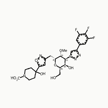 CO[C@@H]1[C@@H](n2cc(-c3cc(F)c(F)c(F)c3)nn2)[C@@H](O)[C@@H](CO)O[C@@H]1Cc1cc(C2(O)CCN(C(=O)O)CC2)on1